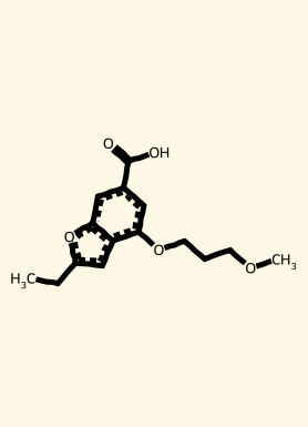 CCc1cc2c(OCCCOC)cc(C(=O)O)cc2o1